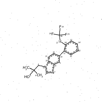 CC(C)(O)Cn1cnc2cc(-c3ccccc3OC(F)(F)F)ccc21